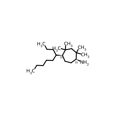 CCCCCC(CCC)[C@@H]1CC[C@H](N)C(C)(C)CC1(C)C